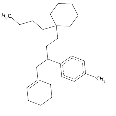 CCCCC1(CCC(CC2=CCCCC2)c2ccc(C)cc2)CCCCC1